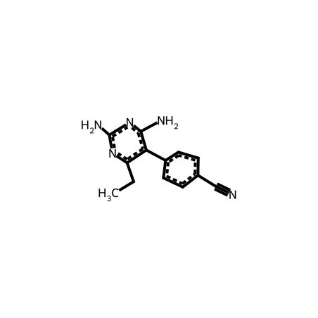 CCc1nc(N)nc(N)c1-c1ccc(C#N)cc1